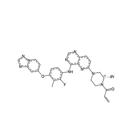 C=CC(=O)N1CCN(c2ccc3ncnc(Nc4ccc(Oc5ccn6ncnc6c5)c(C)c4F)c3n2)C[C@@H]1C(C)C